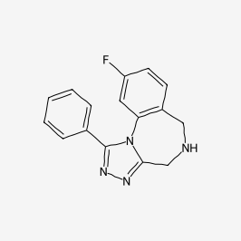 Fc1ccc2c(c1)-n1c(nnc1-c1ccccc1)CNC2